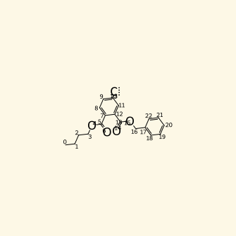 CCCCOC(=O)c1ccccc1C(=O)OCc1ccccc1.[C]